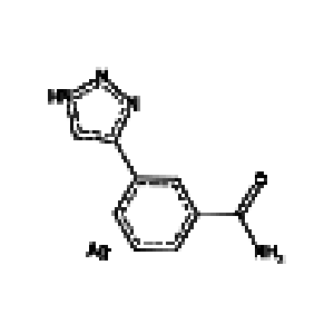 NC(=O)c1cccc(-c2c[nH]nn2)c1.[Ag]